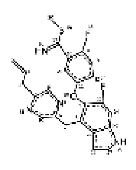 C=CCc1cnc(Cc2c(Oc3ccc(F)c(C(=N)SC)c3)c(F)cc3[nH]ccc23)cn1